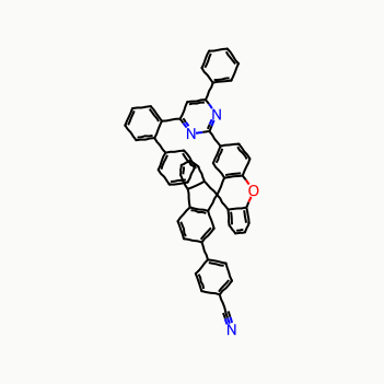 N#Cc1ccc(-c2ccc3c(c2)C2(c4ccccc4Oc4ccc(-c5nc(-c6ccccc6)cc(-c6ccccc6-c6ccccc6)n5)cc42)C2C=CC=CC32)cc1